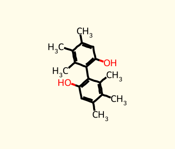 Cc1cc(O)c(-c2c(O)cc(C)c(C)c2C)c(C)c1C